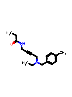 CCC(=O)NCC#CCN(CC)Cc1ccc(C)cc1